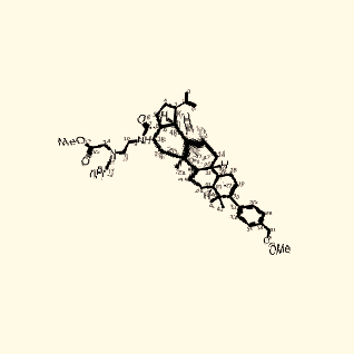 C=C(C)[C@@H]1CC[C@]2(C(=O)NCCN(CCC)CC(=O)OC)CC[C@]3(C)[C@H](CC[C@@H]4[C@@]5(C)CC=C(c6ccc(COOC)cc6)C(C)(C)[C@@H]5CC[C@]43C)[C@@H]12